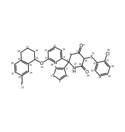 O=C1CC(c2ccsc2)(c2cccc(OC3CCCc4ccc(F)cc43)n2)NC(=O)C1Sc1ccccc1Cl